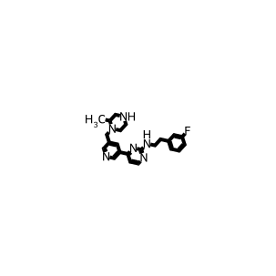 CC1CNCCN1Cc1cncc(-c2ccnc(NCCc3cccc(F)c3)n2)c1